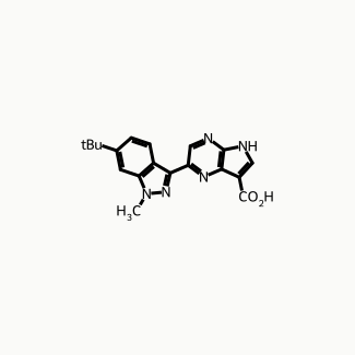 Cn1nc(-c2cnc3[nH]cc(C(=O)O)c3n2)c2ccc(C(C)(C)C)cc21